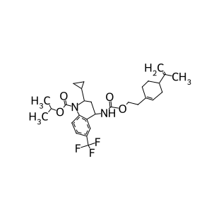 C=C(C)C1CC=C(CCOC(=O)NC2CC(C3CC3)N(C(=O)OC(C)C)c3ccc(C(F)(F)F)cc32)CC1